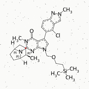 C[C@@H]1CC[C@@H]2CC[C@H]1N2c1nc2c(c(-c3ccc4nn(C)cc4c3Cl)cn2COCC[Si](C)(C)C)c(=O)n1C